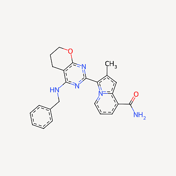 Cc1cc2c(C(N)=O)cccn2c1-c1nc(NCc2ccccc2)c2c(n1)OCCC2